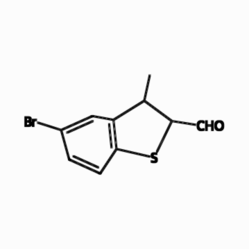 CC1c2cc(Br)ccc2SC1C=O